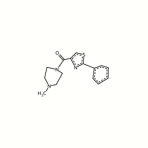 CN1CCN(C(=O)c2csc(-c3cc[c]cc3)n2)CC1